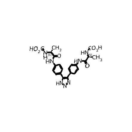 C[C@H](NC(=O)O)C(=O)Nc1ccc(-c2nn[nH]c2-c2ccc(NC(=O)[C@H](C)NC(=O)O)cc2)cc1